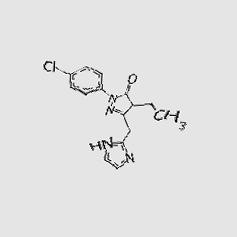 CCC1C(=O)N(c2ccc(Cl)cc2)N=C1Cc1ncc[nH]1